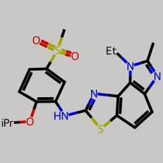 CCn1c(C)nc2ccc3sc(Nc4cc(S(C)(=O)=O)ccc4OC(C)C)nc3c21